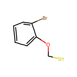 SCOc1ccccc1Br